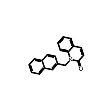 O=c1ccc2ccccc2n1Cc1ccc2ccccc2c1